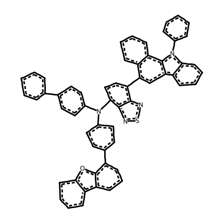 c1ccc(-c2ccc(N(c3ccc(-c4cccc5c4oc4ccccc45)cc3)c3ccc(-c4cc5c6ccccc6n(-c6ccccc6)c5c5ccccc45)c4nsnc34)cc2)cc1